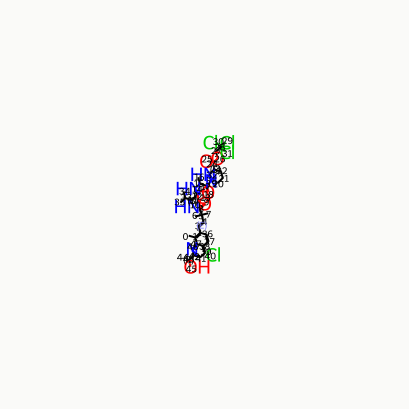 Cc1c(/C=C/C(C)(C)C(=O)N[C@H](C(=O)NC(C)C(=O)N2CCC[C@@H](C(=O)OCC(Cl)(Cl)Cl)N2)C(C)C)ccc2c(Cl)cc([C@@H](C)O)nc12